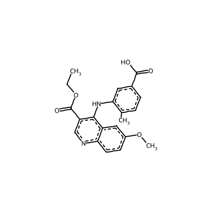 CCOC(=O)c1cnc2ccc(OC)cc2c1Nc1cc(C(=O)O)ccc1C